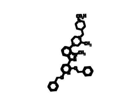 CC1CN(c2cccc3c(-c4ccc(OCc5ccccc5)nc4OCc4ccccc4)nn(C)c23)CCN1CC1CCN(C(=O)O)CC1